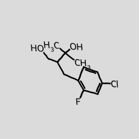 CC(C)(O)C(CO)Cc1ccc(Cl)cc1F